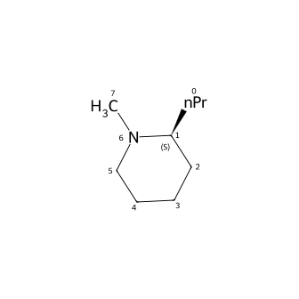 CCC[C@H]1CCCCN1C